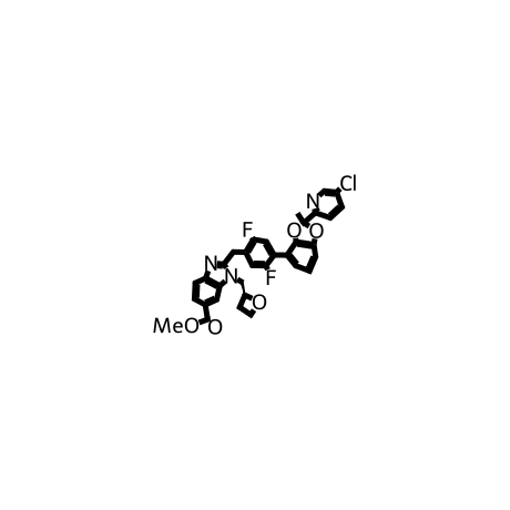 COC(=O)c1ccc2nc(Cc3cc(F)c(-c4cccc5c4OC(C)(c4ccc(Cl)cn4)O5)cc3F)n(C[C@@H]3CCO3)c2c1